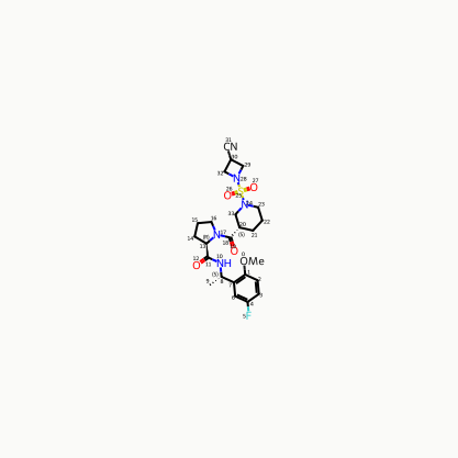 COc1ccc(F)cc1[C@H](C)NC(=O)[C@H]1CCCN1C(=O)[C@H]1CCCN(S(=O)(=O)N2CC(C#N)C2)C1